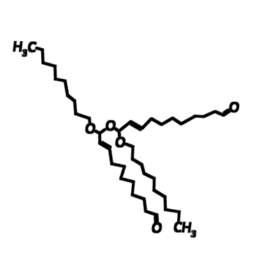 CCCCCCCCCCOC(C=CCCCCCCCC=O)OC(C=CCCCCCCCC=O)OCCCCCCCCCC